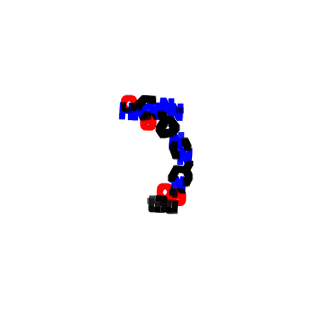 Cn1nc(N2CCC(=O)NC2=O)c2ccc(N3CCN(CC4CCN(C(=O)OC(C)(C)C)CC4)CC3)cc21